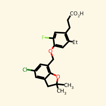 CCc1cc(OCc2cc(Cl)cc3c2OC(C)(C)C3)c(F)cc1CCC(=O)O